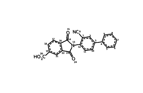 N#Cc1cc(-c2ccccc2)ccc1N1C(=O)c2ccc(C(=O)O)cc2C1=O